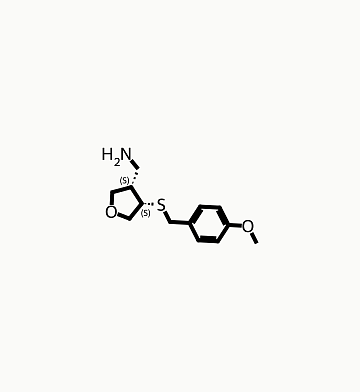 COc1ccc(CS[C@@H]2COC[C@@H]2CN)cc1